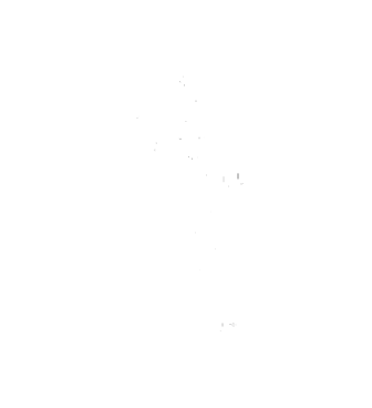 CCCCCCCCCCCCCCCCCCN(CCCN)CC(O)(O)O.F.F